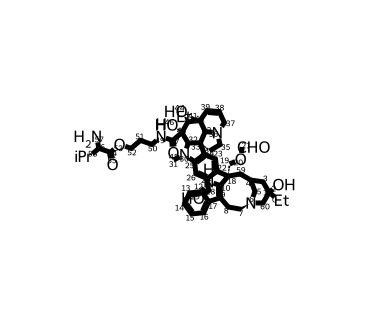 CCC1(O)CC2C[N@](CCc3c([nH]c4ccccc34)[C@@](COC=O)(c3cc4c(cc3CO)N(C)C3[C@]45CCN4CC=C[C@](CC)(C45)[C@@H](O)[C@]3(O)C(=O)NCCCOC(=O)C(N)C(C)C)C2)C1